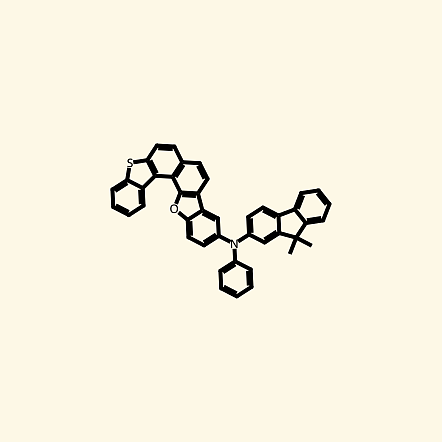 CC1(C)c2ccccc2-c2ccc(N(c3ccccc3)c3ccc4oc5c(ccc6ccc7sc8ccccc8c7c65)c4c3)cc21